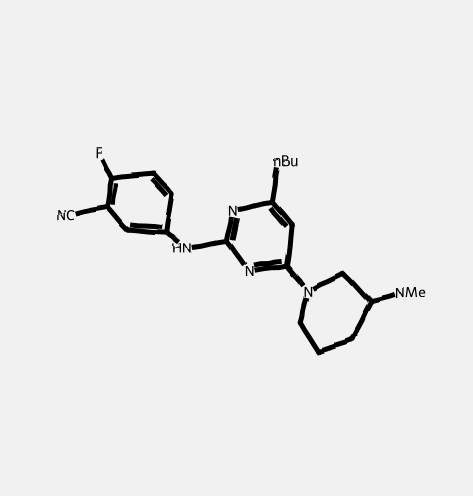 CCCCc1cc(N2CCCC(NC)C2)nc(Nc2ccc(F)c(C#N)c2)n1